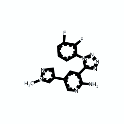 Cn1cc(-c2cnc(N)c(-c3nnnn3-c3cccc(F)c3F)c2)cn1